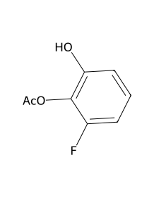 CC(=O)Oc1c(O)cccc1F